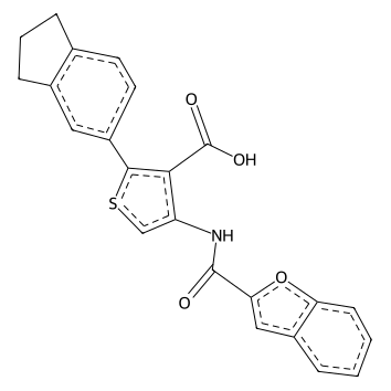 O=C(Nc1csc(-c2ccc3c(c2)CCC3)c1C(=O)O)c1cc2ccccc2o1